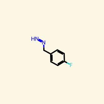 N=NCc1ccc(F)cc1